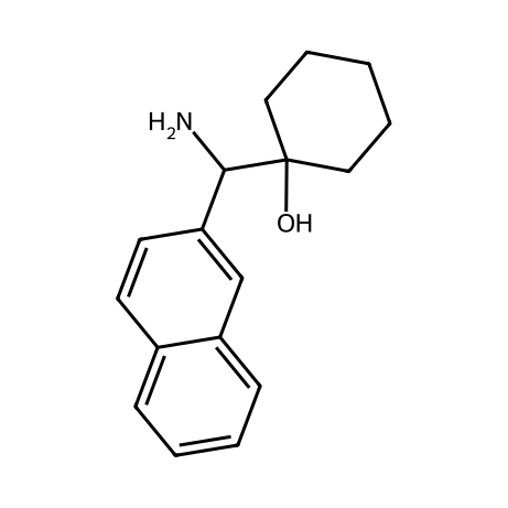 NC(c1ccc2ccccc2c1)C1(O)CCCCC1